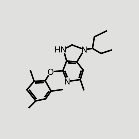 CCC(CC)N1CNc2c1cc(C)nc2Oc1c(C)cc(C)cc1C